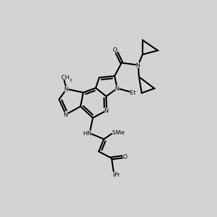 CCn1c(C(=O)N(C2CC2)C2CC2)cc2c3c(ncn3C)c(N/C(=C/C(=O)C(C)C)SC)nc21